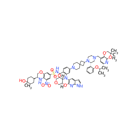 CC(C)Oc1ccccc1[C@H]1CN(Cc2ccnc3c2OCC(C)(C)O3)CCN1C1CC2(CCN(c3ccc(C(=O)NS(=O)(=O)c4cc5c(c([N+](=O)[O-])c4)N[C@@H](C4CCC(C)(O)CC4)CO5)c(N4c5cc6cc[nH]c6nc5O[C@H]5COCC[C@@H]54)c3)CC2)C1